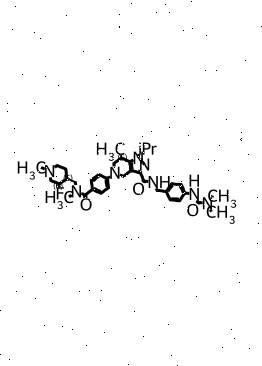 CC(C)n1nc(C(=O)NCc2ccc(NC(=O)N(C)C)cc2)c2c1[C@@H](C)CN(c1ccc(C(=O)N(C)C[C@@H]3CCN(C)C[C@@H]3F)cc1)C2